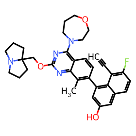 C#Cc1c(F)ccc2cc(O)cc(-c3ccc4c(N5CCCOCC5)nc(OCC56CCCN5CCC6)nc4c3C)c12